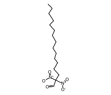 CCCCCCCCCCCCCCC([C]=O)([N+](=O)[O-])[N+](=O)[O-]